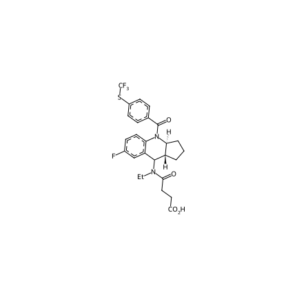 CCN(C(=O)CCC(=O)O)C1c2cc(F)ccc2N(C(=O)c2ccc(SC(F)(F)F)cc2)[C@H]2CCC[C@H]12